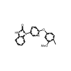 COc1cc(Oc2ccc(-n3c(=O)[nH]c4ccccc43)cn2)ccc1C